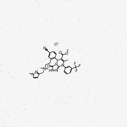 COC(=O)C1=C(C)N(c2cccc(C(F)(F)F)c2)c2n[nH]c(=O)n2C1c1ccc(C#N)cc1CC[N+](C)(C)Cc1ccn(C)n1.[Cl-]